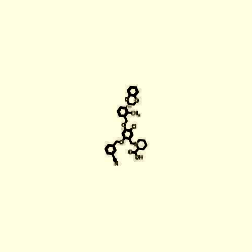 Cc1c(COc2cc(OCc3cccc(C#N)c3)c(CN3CCCCC3C(=O)O)cc2Cl)cccc1[C@H]1COc2ccccc2O1